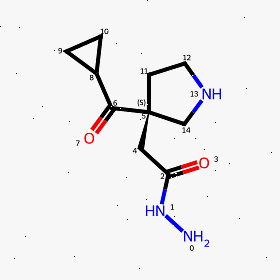 NNC(=O)C[C@@]1(C(=O)C2CC2)CCNC1